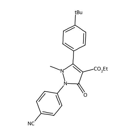 CCOC(=O)c1c(-c2ccc(C(C)(C)C)cc2)n(C)n(-c2ccc(C#N)cc2)c1=O